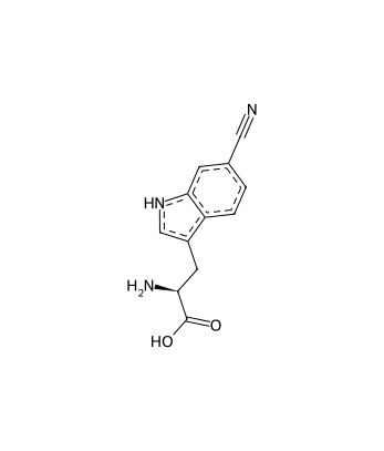 N#Cc1ccc2c(C[C@H](N)C(=O)O)c[nH]c2c1